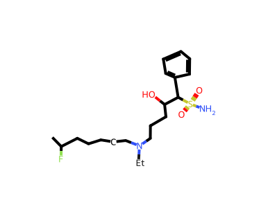 CCN(CCCCCC(C)F)CCCC(O)C(c1ccccc1)S(N)(=O)=O